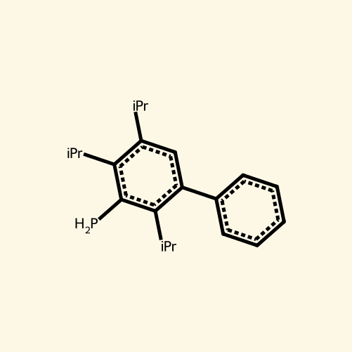 CC(C)c1cc(-c2ccccc2)c(C(C)C)c(P)c1C(C)C